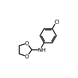 Clc1ccc(NC2OCCO2)cc1